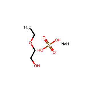 CCOCCO.O=S(=O)(O)O.[NaH]